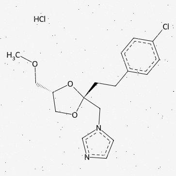 COC[C@H]1CO[C@@](CCc2ccc(Cl)cc2)(Cn2ccnc2)O1.Cl